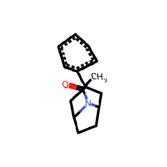 CC(=O)N1C2CCC1CC(c1ccccc1)C2